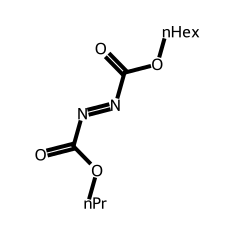 CCCCCCOC(=O)N=NC(=O)OCCC